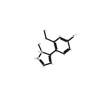 CCc1cc(F)ccc1-c1ccnn1C